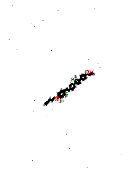 C#CCCCOc1ccc(CCC2CCC(c3ccc(-c4ccc(C(O)CCC)cc4)c(F)c3F)CC2)c(F)c1F